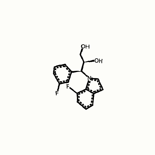 OC[C@@H](O)[C@H](c1cccc(F)c1)n1ccc2cccc(F)c21